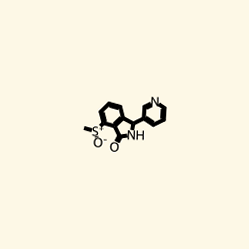 C[S+]([O-])c1cccc2c1C(=O)NC2c1cccnc1